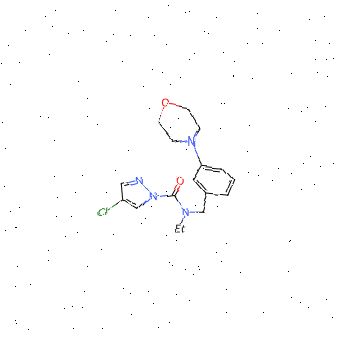 CCN(Cc1cccc(N2CCOCC2)c1)C(=O)n1cc(Cl)cn1